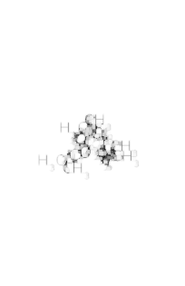 CC(C)N1CCC2(CC1)OCc1c(C3CC4(CCN3C(C)C)CC4C3CCC4(CCC4)N3C(C)C)cccc12